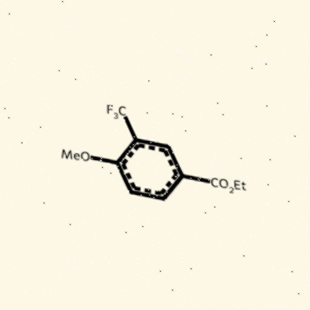 CCOC(=O)c1ccc(OC)c(C(F)(F)F)c1